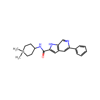 C[Si]1(C)CCC(NC(=O)c2cc3cc(-c4ccccc4)ncc3[nH]2)CC1